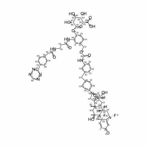 C[C@]12C=CC(=O)C=C1[C@@H](F)C[C@H]1[C@@H]3C[C@H]4CN(c5ccc(Cc6cccc(NC(=O)OCc7ccc(O[C@@H]8O[C@H](C(=O)O)[C@@H](O)[C@H](O)[C@H]8O)c(NC(=O)CCNC(=O)Cc8ccc(-c9nncnn9)cc8)c7)c6)cc5)C[C@@]4(C(=O)CO)[C@@]3(C)C[C@H](O)[C@@]12F